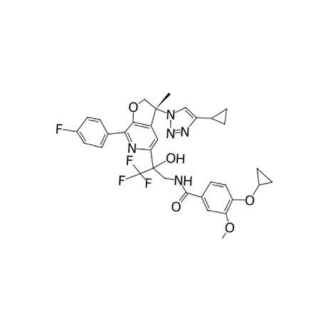 COc1cc(C(=O)NCC(O)(c2cc3c(c(-c4ccc(F)cc4)n2)OC[C@]3(C)n2cc(C3CC3)nn2)C(F)(F)F)ccc1OC1CC1